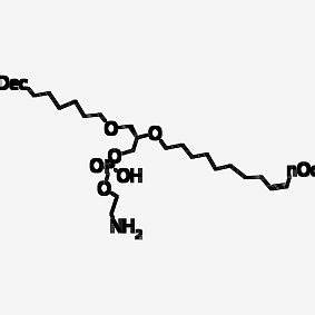 CCCCCCCC/C=C\CCCCCCCCO[C@H](COCCCCCCCCCCCCCCCC)COP(=O)(O)OCCN